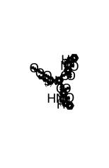 CCCCS[C@@H](C)CN(CCOCCOCCOC)c1cc(COc2cc3c(cc2OC)C(=O)N2c4ccccc4C[C@H]2C=N3)cc(COc2cc3c(cc2OC)C(=O)N2c4ccccc4C[C@H]2CN3)c1